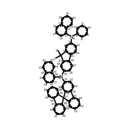 CC1(C)c2cc(N(c3ccccc3)c3cccc4ccccc34)ccc2-c2ccc(N(c3ccc4c(c3)C3(c5ccccc5-c5ccccc53)c3ccccc3-4)c3cccc4ccccc34)cc21